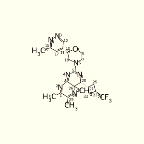 CC1=NC2=NC(N3CCO[C@@H](c4cnnc(C)c4)C3)=NC([C@H]3C[C@H](C(F)(F)F)C3)C2(C)N=C1C